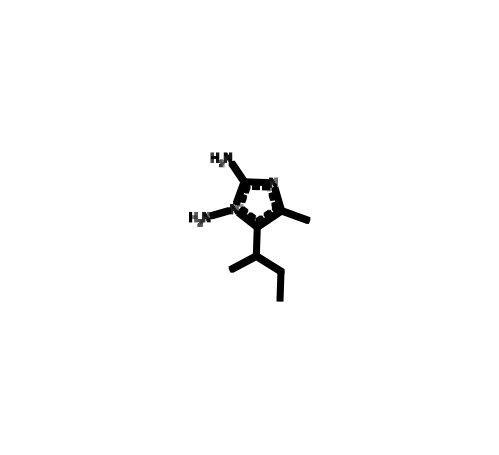 CCC(C)c1c(C)nc(N)n1N